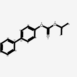 CC(C)OC(=O)Oc1ccc(-c2ccccc2)cc1